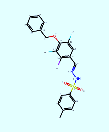 Cc1ccc(S(=O)(=O)NN=Cc2cc(F)c(OCc3ccccc3)c(F)c2I)cc1